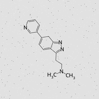 CN(C)CCC1=NN=C2CC(c3cccnc3)=CC=C12